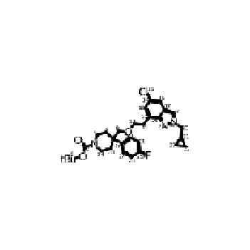 CC(C)(C)OC(=O)N1CCC(COCCc2cc(Cl)cc3cn(CC4CC4)nc23)(c2ccc(F)cc2)CC1